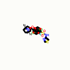 O=S(=O)(Nc1cscn1)c1ccc(O[C@H]2C[C@H]3CC[C@@H](C2)N3Cc2ccc(F)c(Cl)c2)c(Cl)c1